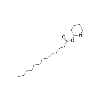 CCCCCCCCCCCCC(=O)OC1CCCC[N]1